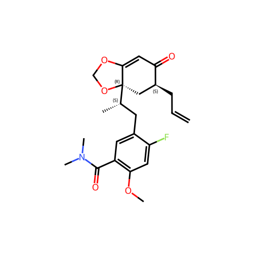 C=CC[C@H]1C[C@]2([C@@H](C)Cc3cc(C(=O)N(C)C)c(OC)cc3F)OCOC2=CC1=O